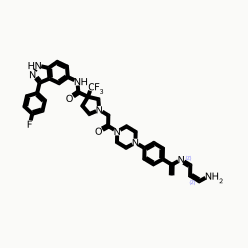 C=C(/N=C\C=C/N)c1ccc(N2CCN(C(=O)CN3CCC(C(=O)Nc4ccc5[nH]nc(-c6ccc(F)cc6)c5c4)(C(F)(F)F)C3)CC2)cc1